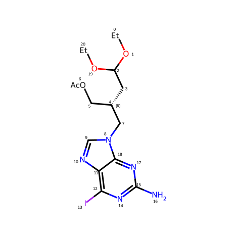 CCOC(C[C@@H](COC(C)=O)Cn1cnc2c(I)nc(N)nc21)OCC